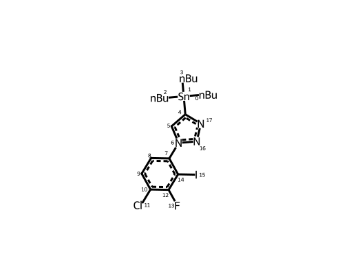 CCC[CH2][Sn]([CH2]CCC)([CH2]CCC)[c]1cn(-c2ccc(Cl)c(F)c2I)nn1